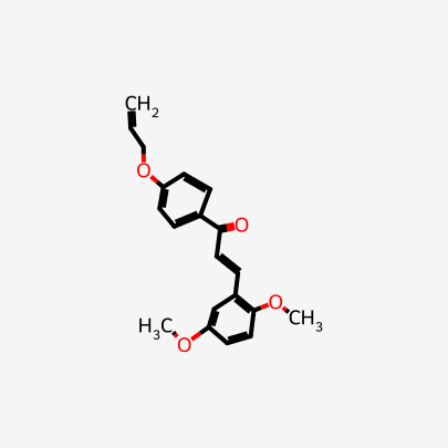 C=CCOc1ccc(C(=O)/C=C/c2cc(OC)ccc2OC)cc1